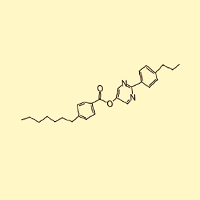 CCCCCCCc1ccc(C(=O)Oc2cnc(-c3ccc(CCC)cc3)nc2)cc1